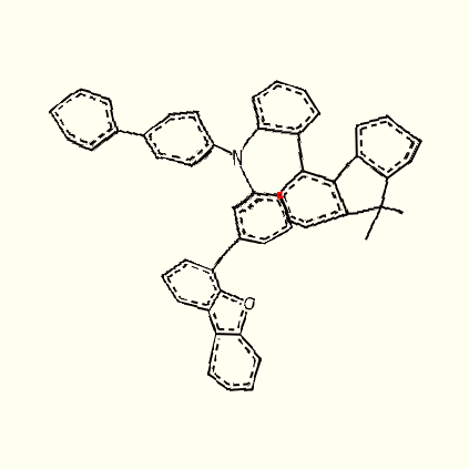 CC1(C)c2ccccc2-c2c(-c3ccccc3N(c3ccc(-c4ccccc4)cc3)c3cccc(-c4cccc5c4oc4ccccc45)c3)cccc21